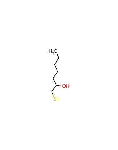 CCCCCC(O)CS